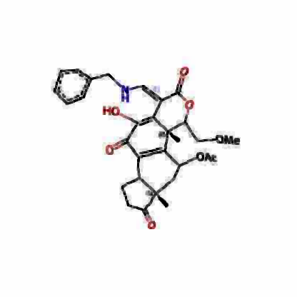 COCC1OC(=O)/C(=C/NCc2ccccc2)C2=C(O)C(=O)C3=C(C(OC(C)=O)C[C@]4(C)C(=O)CCC34)[C@]21C